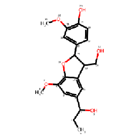 CCC(O)c1cc(OC)c2c(c1)C(CO)C(c1ccc(O)c(OC)c1)O2